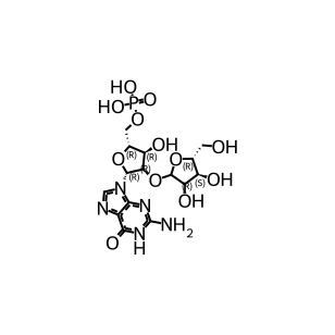 Nc1nc2c(ncn2[C@@H]2O[C@H](COP(=O)(O)O)[C@@H](O)[C@H]2OC2O[C@H](CO)[C@@H](O)[C@H]2O)c(=O)[nH]1